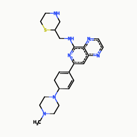 CN1CCN(C2C=CC(c3cc4nccnc4c(NCC4CNCCS4)n3)=CC2)CC1